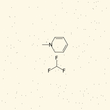 CN1C=CC=CC1.FC(F)F